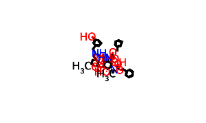 C[C@@H]1C[C@@](O)(CNCc2cccc(O)c2)[C@]2(O)OC3C(OC2O1)[C@@H](O)[C@H](N(C)C(=O)OCc1ccccc1)[C@H](O)[C@@H]3NC(=O)OCc1ccccc1